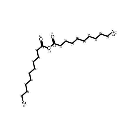 CC(=O)CCCCCCCCCC(=O)OC(=O)CCCCCCCCCC(C)=O